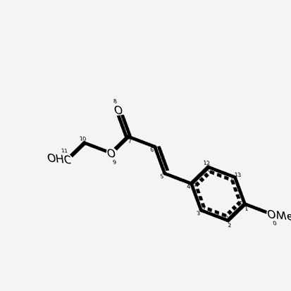 COc1ccc(C=CC(=O)OCC=O)cc1